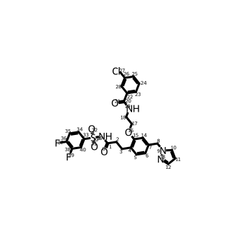 O=C(CCc1ccc(Cn2cccn2)cc1OCCNC(=O)c1cccc(Cl)c1)NS(=O)(=O)c1ccc(F)c(F)c1